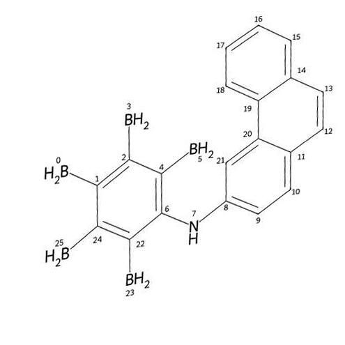 Bc1c(B)c(B)c(Nc2ccc3ccc4ccccc4c3c2)c(B)c1B